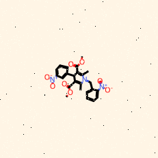 COC(=O)C1=C(C)N(Cc2ccccc2[N+](=O)[O-])C(C)=C(C(=O)OC)C1c1cccc([N+](=O)[O-])c1